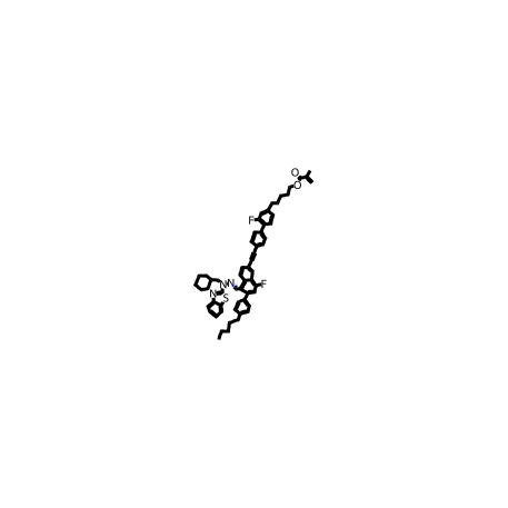 C=C(C)C(=O)OCCCCCc1ccc(-c2ccc(C#Cc3ccc4c(/C=N/N(CC5CCCCC5)c5nc6ccccc6s5)c(-c5ccc(CCCCC)cc5)cc(F)c4c3)cc2)c(F)c1